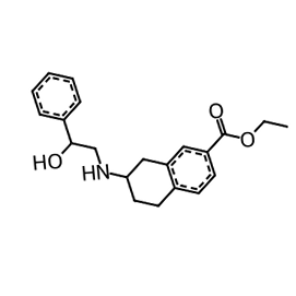 CCOC(=O)c1ccc2c(c1)CC(NCC(O)c1ccccc1)CC2